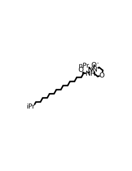 CCCN(NC(=O)CCCCCCCCCCCCCCC(C)C)[N+]1([O-])CCOCC1